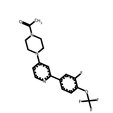 CC(=O)N1CCN(c2ccnc(-c3ccc(OC(F)(F)F)c(F)c3)c2)CC1